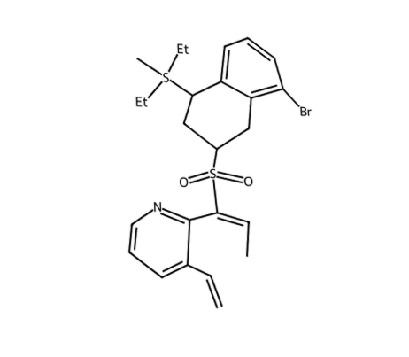 C=Cc1cccnc1/C(=C\C)S(=O)(=O)C1Cc2c(Br)cccc2C(S(C)(CC)CC)C1